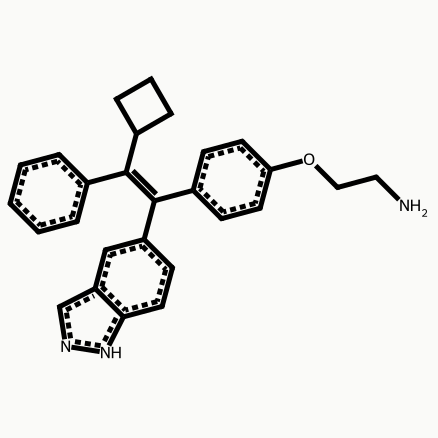 NCCOc1ccc(C(=C(c2ccccc2)C2CCC2)c2ccc3[nH]ncc3c2)cc1